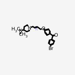 CN(C)C1CCN(C/C=C/COc2ccc(C(=O)c3ccc(Br)cc3)cc2)CC1